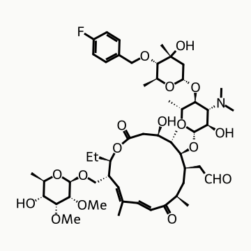 CC[C@H]1OC(=O)C[C@@H](O)[C@H](C)[C@@H](O[C@@H]2O[C@H](C)[C@@H](O[C@H]3C[C@@](C)(O)[C@@H](OCc4ccc(F)cc4)[C@H](C)O3)[C@H](N(C)C)[C@H]2O)[C@@H](CC=O)C[C@@H](C)C(=O)/C=C/C(C)=C/[C@@H]1CO[C@@H]1O[C@H](C)[C@@H](O)[C@@H](OC)[C@H]1OC